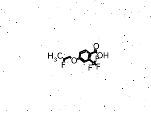 C[C@@H](F)COc1ccc(C(=O)O)c(C(F)(F)F)c1